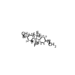 C=Nc1ccc(C(c2ccc(N=C)cc2)(C(F)(F)F)C(F)(F)F)cc1